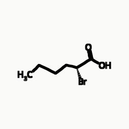 CCCC[C@@H](Br)C(=O)O